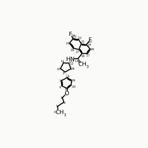 CCCCOc1ccc([C@@H]2CC[C@H](N[C@H](C)c3ccc(F)c4cc(F)ccc34)C2)cc1